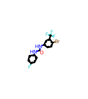 O=C(Nc1ccc(F)cc1)Nc1ccc(Br)c(C(F)(F)F)c1